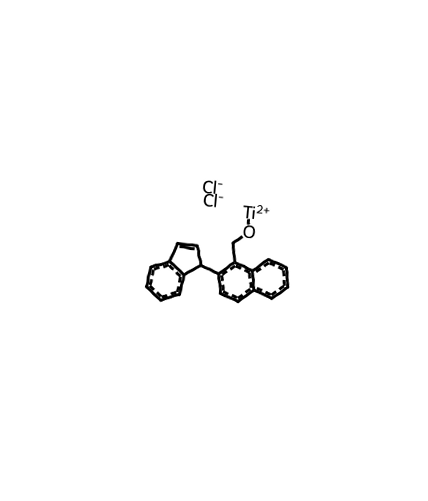 [Cl-].[Cl-].[Ti+2][O]Cc1c(C2C=Cc3ccccc32)ccc2ccccc12